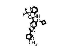 CC12CCC(c3cn4cc(C(=O)Nc5cccnc5OC(F)F)c(OC5CCC5)cc4n3)(CO1)C2